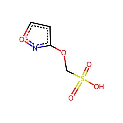 O=S(=O)(O)COc1ccon1